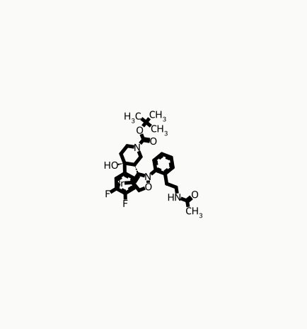 CC(=O)NCCc1ccccc1N1OCC(Br)=C1[C@H]1CN(C(=O)OC(C)(C)C)CC[C@]1(O)c1ccc(F)c(F)c1